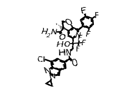 C[C@]1(C(N)=O)COc2c1cc(C(O)(CNC(=O)c1cc(Cl)c3nn(C4CC4)cc3c1)C(F)(F)F)nc2-c1cc(F)c(F)cc1F